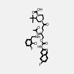 CC(=O)N(NCc1cccc(F)c1Cl)[C@@H](CCC(=O)N1CCN(C(=O)O)C(C(C)(C)C)C1)COC(=O)Nc1cc2cc(F)ccc2cn1